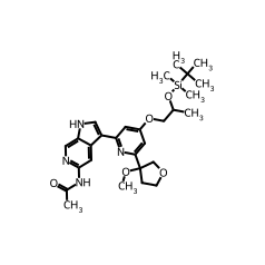 COC1(c2cc(OCC(C)O[Si](C)(C)C(C)(C)C)cc(-c3c[nH]c4cnc(NC(C)=O)cc34)n2)CCOC1